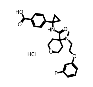 CN(CCOc1cccc(F)c1)C1(C(=O)NC2(c3ccc(C(=O)O)cc3)CC2)CCOCC1.Cl